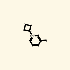 Cc1ccc[n+](C2CCC2)c1